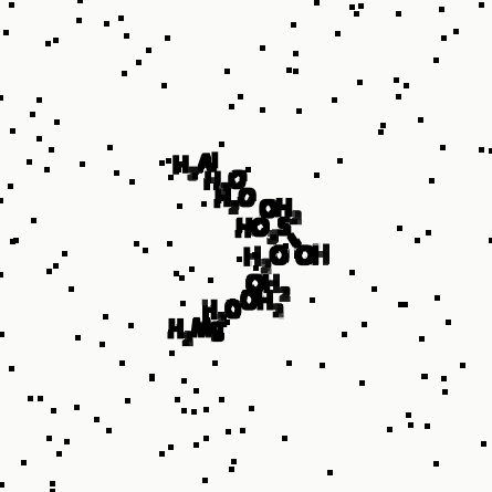 O.O.O.O.O.O.O.O=S(=O)(O)O.[AlH3].[MgH2]